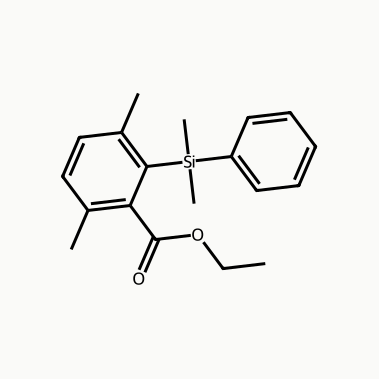 CCOC(=O)c1c(C)ccc(C)c1[Si](C)(C)c1ccccc1